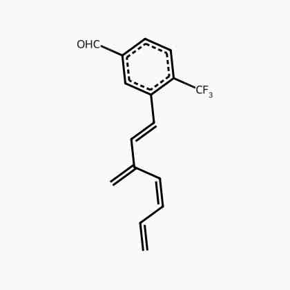 C=C/C=C\C(=C)/C=C/c1cc(C=O)ccc1C(F)(F)F